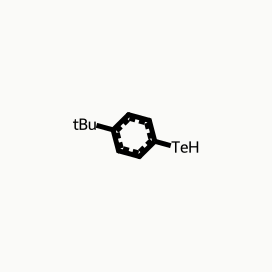 CC(C)(C)c1ccc([TeH])cc1